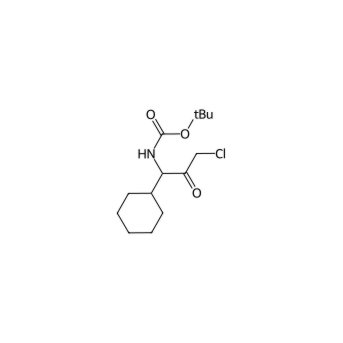 CC(C)(C)OC(=O)NC(C(=O)CCl)C1CCCCC1